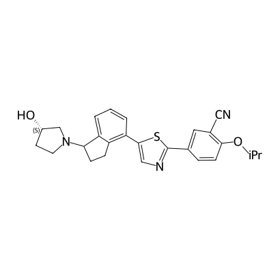 CC(C)Oc1ccc(-c2ncc(-c3cccc4c3CCC4N3CC[C@H](O)C3)s2)cc1C#N